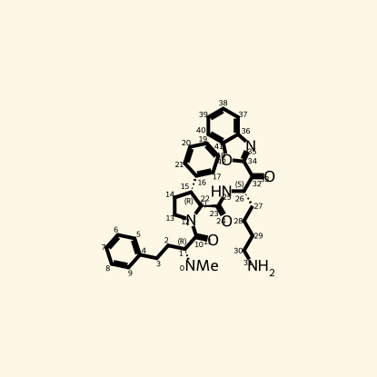 CN[C@H](CCc1ccccc1)C(=O)N1CC[C@H](c2ccccc2)[C@H]1C(=O)N[C@@H](CCCCN)C(=O)c1nc2ccccc2o1